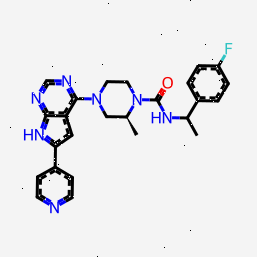 CC(NC(=O)N1CCN(c2ncnc3[nH]c(-c4ccncc4)cc23)C[C@@H]1C)c1ccc(F)cc1